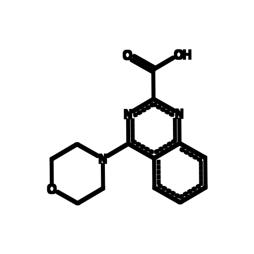 O=C(O)c1nc(N2CCOCC2)c2ccccc2n1